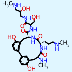 CNCCC[C@@H]1NC(=O)[C@@H](NC)Cc2cc(ccc2O)-c2ccc(O)c(c2)C[C@@H](C(=O)NC(CO)C(=O)NCC(O)CNC)NC1=O